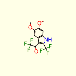 COc1cc2[nH]c(C(F)(F)F)c(C(=O)C(F)(F)F)c2cc1OC